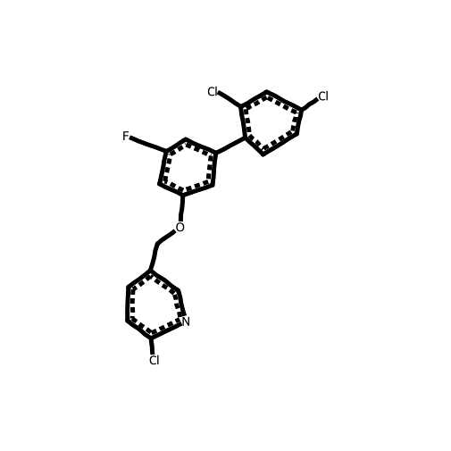 Fc1[c]c(-c2ccc(Cl)cc2Cl)cc(OCc2ccc(Cl)nc2)c1